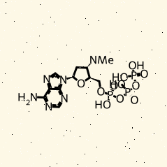 CN[C@H]1C[C@H](n2cnc3c(N)ncnc32)O[C@@H]1COP(=O)(O)OP(=O)(O)OP(=O)(O)O